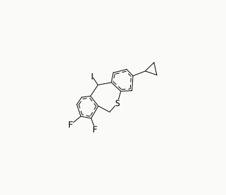 Fc1ccc2c(c1F)CSc1cc(C3CC3)ccc1C2I